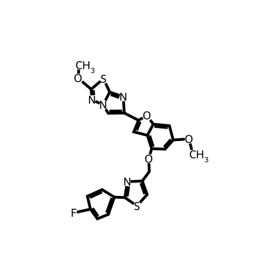 COc1cc(OCc2csc(-c3ccc(F)cc3)n2)c2cc(-c3cn4nc(OC)sc4n3)oc2c1